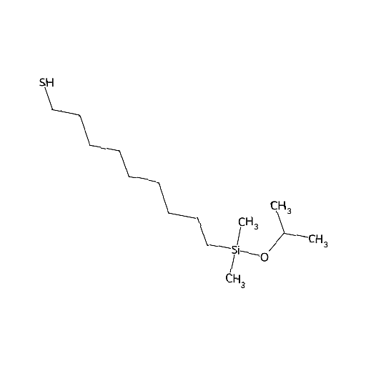 CC(C)O[Si](C)(C)CCCCCCCCCS